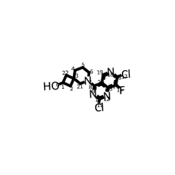 OC1CC2(CCCN(c3nc(Cl)nc4c(F)c(Cl)ncc34)C2)C1